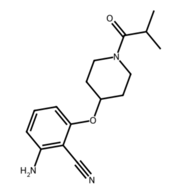 CC(C)C(=O)N1CCC(Oc2cccc(N)c2C#N)CC1